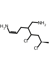 C[C@@H](Cl)CC(Cl)C(CN)C/C=C\N